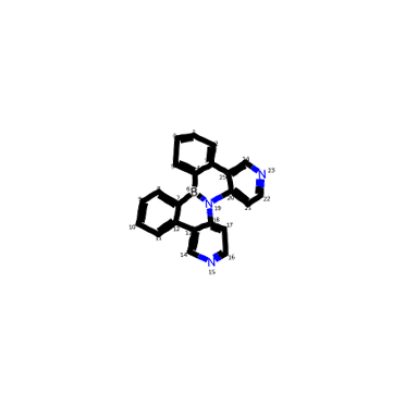 c1ccc2c(c1)B1c3ccccc3-c3cnccc3N1c1ccncc1-2